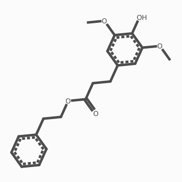 COc1cc(CCC(=O)OCCc2ccccc2)cc(OC)c1O